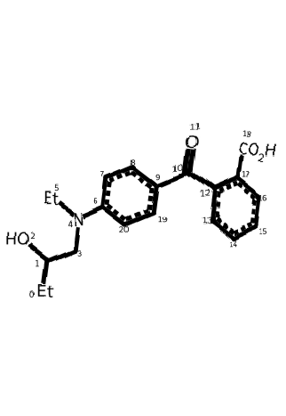 CCC(O)CN(CC)c1ccc(C(=O)c2ccccc2C(=O)O)cc1